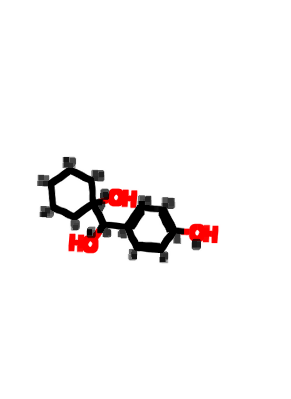 Oc1ccc(C(O)C2(O)CCCCC2)cc1